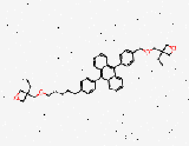 CCC1(COCCCCCc2ccc(-c3c4ccccc4c(-c4ccc(COCC5(CC)COC5)cc4)c4ccccc34)cc2)COC1